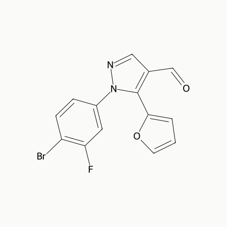 O=Cc1cnn(-c2ccc(Br)c(F)c2)c1-c1ccco1